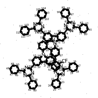 N#Cc1cccc(-n2c3ccc(-c4nc(-c5ccccc5)nc(-c5ccccc5)n4)cc3c3cc(-c4nc(-c5ccccc5)nc(-c5ccccc5)n4)ccc32)c1-c1cc(-c2c(C(F)(F)F)cccc2C(F)(F)F)ccc1-n1c2ccc(-c3nc(-c4ccccc4)nc(-c4ccccc4)n3)cc2c2cc(-c3nc(-c4ccccc4)nc(-c4ccccc4)n3)ccc21